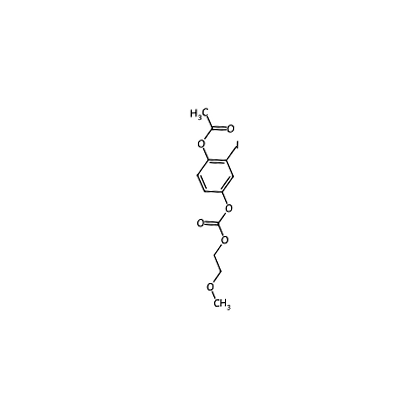 COCCOC(=O)Oc1ccc(OC(C)=O)c(I)c1